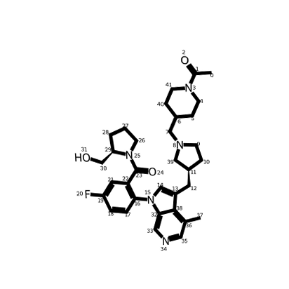 CC(=O)N1CCC(CN2CC[C@@H](Cc3cn(-c4ccc(F)cc4C(=O)N4CCC[C@@H]4CO)c4cncc(C)c34)C2)CC1